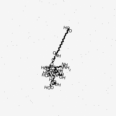 CN[C@@H](CCCNC(=N)N)C(=O)N[C@@H](CCC(=O)O)C(=O)N[C@@H](CCCCN(CC(=O)O)CC(=O)O)C(=O)N[C@@H](CO)C(=O)N[C@@H](CO)C(=O)NCCOCCOCCNC(=O)CCCCCCCCCCCCCCCCC(=O)O